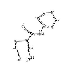 O=C(Nc1ccncc1)C1CCCNC1